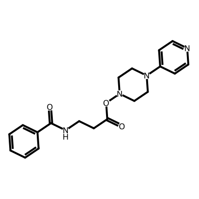 O=C(CCNC(=O)c1ccccc1)ON1CCN(c2ccncc2)CC1